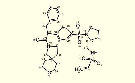 C=CS(=O)(=O)NC[C@H]1CCCN1S(=O)(=O)c1ccc(C(Cc2ccccc2)C(=O)N2CCC3(CCOCC3)C2)cc1